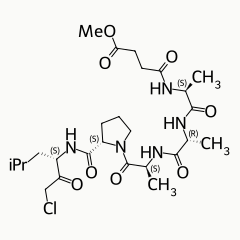 COC(=O)CCC(=O)N[C@@H](C)C(=O)N[C@H](C)C(=O)N[C@@H](C)C(=O)N1CCC[C@H]1C(=O)N[C@@H](CC(C)C)C(=O)CCl